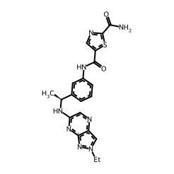 CCn1cc2ncc(N[C@@H](C)c3cccc(NC(=O)c4cnc(C(N)=O)s4)c3)nc2n1